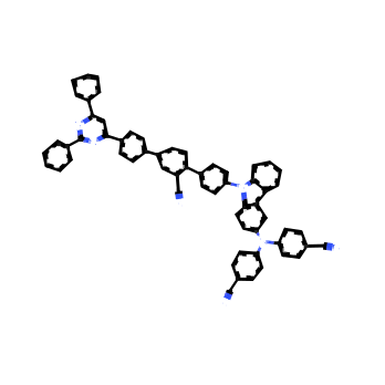 N#Cc1ccc(N(c2ccc(C#N)cc2)c2ccc3c(c2)c2ccccc2n3-c2ccc(-c3ccc(-c4ccc(-c5cc(-c6ccccc6)nc(-c6ccccc6)n5)cc4)cc3C#N)cc2)cc1